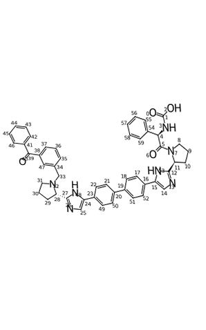 O=C(O)N[C@@H](C(=O)N1CCC[C@H]1c1ncc(-c2ccc(-c3ccc(-c4cnc([C@@H]5CCCN5Cc5cccc(C(=O)c6ccccc6)c5)[nH]4)cc3)cc2)[nH]1)c1ccccc1